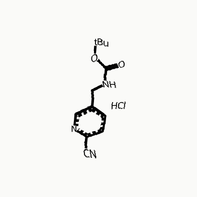 CC(C)(C)OC(=O)NCc1ccc(C#N)nc1.Cl